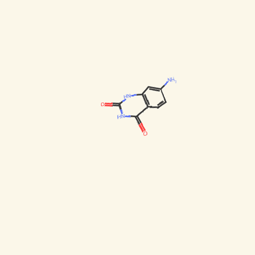 Nc1ccc2c(=O)[nH]c(=O)[nH]c2c1